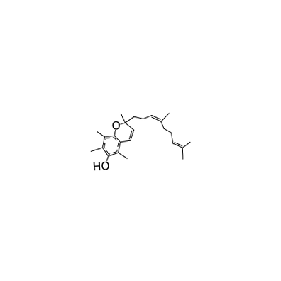 CC(C)=CCCC(C)=CCCC1(C)C=Cc2c(C)c(O)c(C)c(C)c2O1